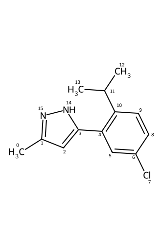 Cc1cc(-c2cc(Cl)ccc2C(C)C)[nH]n1